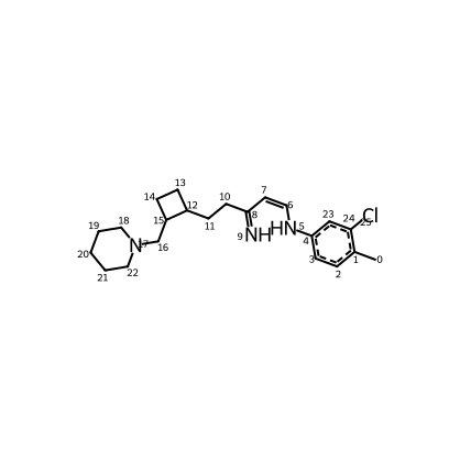 Cc1ccc(N/C=C\C(=N)CCC2CCC2CN2CCCCC2)cc1Cl